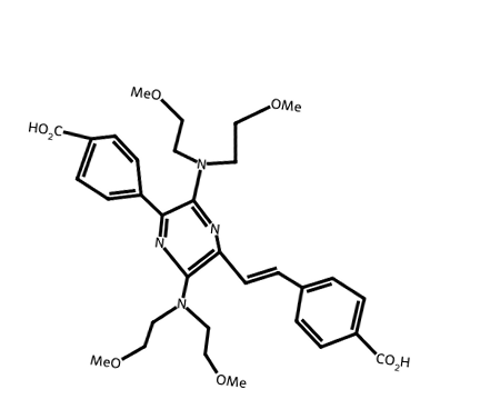 COCCN(CCOC)c1nc(-c2ccc(C(=O)O)cc2)c(N(CCOC)CCOC)nc1C=Cc1ccc(C(=O)O)cc1